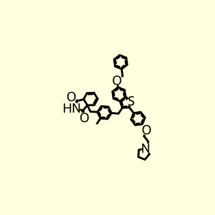 Cc1cc(Cc2c(-c3ccc(OCCN4CCCC4)cc3)sc3cc(OCc4ccccc4)ccc23)ccc1CC12C=CC=CC1C(=O)NC2=O